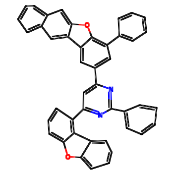 c1ccc(-c2nc(-c3cc(-c4ccccc4)c4oc5cc6ccccc6cc5c4c3)cc(-c3cccc4oc5ccccc5c34)n2)cc1